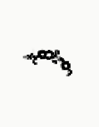 COc1ccc(CN2CC[C@]3(CCc4ccc(C(=O)NO)cc4C3)C2=O)cc1